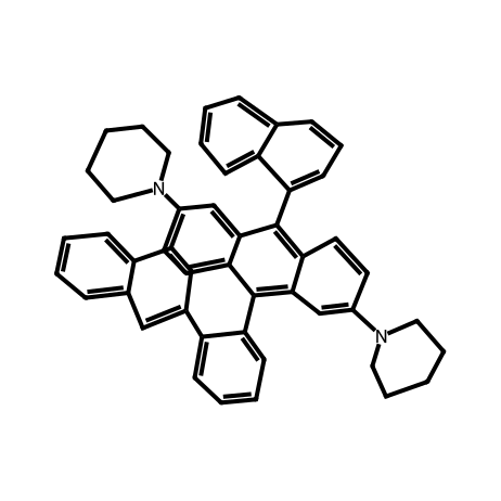 c1ccc(-c2c3cc(N4CCCCC4)ccc3c(-c3cccc4ccccc34)c3cc(N4CCCCC4)ccc23)c(-c2ccc3ccccc3c2)c1